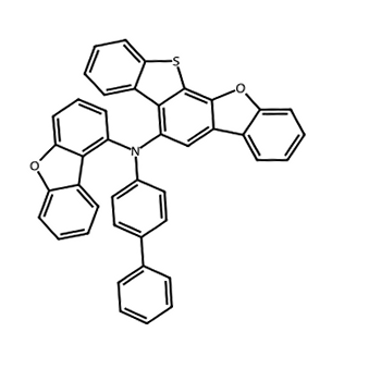 c1ccc(-c2ccc(N(c3cccc4oc5ccccc5c34)c3cc4c5ccccc5oc4c4sc5ccccc5c34)cc2)cc1